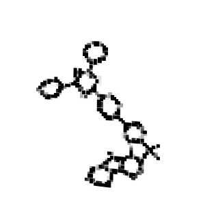 CC1(C)c2ccc(-c3ccc(-c4nc(-c5ccccc5)nc(-c5ccccc5)n4)cc3)cc2-c2c1ccc1c2sc2ccccc21